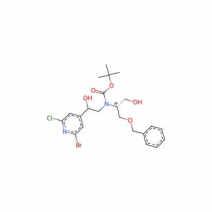 CC(C)(C)OC(=O)N(CC(O)c1cc(Cl)nc(Br)c1)[C@H](CO)COCc1ccccc1